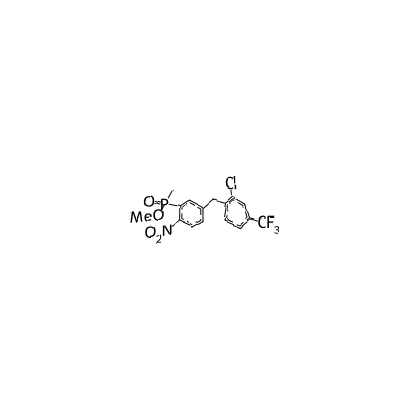 COP(C)(=O)c1cc(Cc2ccc(C(F)(F)F)cc2Cl)ccc1[N+](=O)[O-]